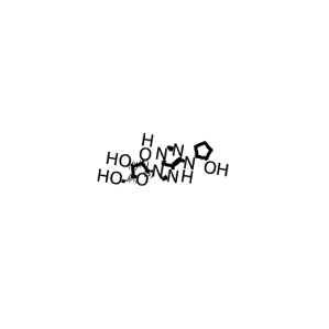 OC[C@H]1O[C@H](n2cnc3c(NC4CCCC4O)ncnc32)[C@@H](O)[C@@H]1O